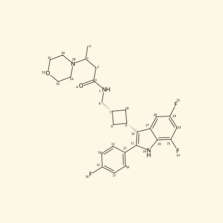 CC(CC(=O)NC[C@H]1C[C@@H](c2c(-c3ccc(F)cc3)[nH]c3c(F)cc(F)cc32)C1)N1CCOCC1